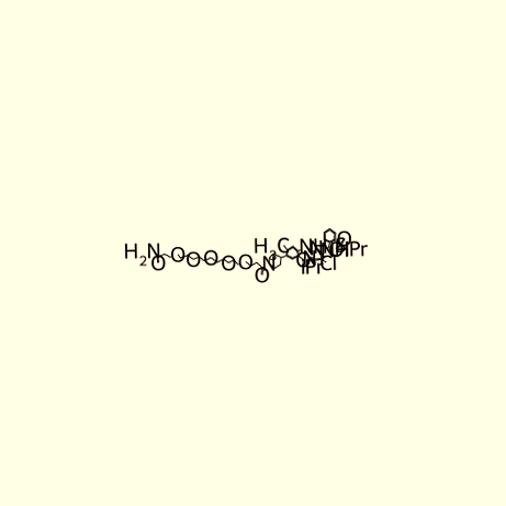 Cc1cc(Nc2ncc(Cl)c(Nc3ccccc3S(=O)(=O)C(C)C)n2)c(OC(C)C)cc1C1CCN(C(=O)CCOCCOCCOCCOCCOCCC(N)=O)CC1